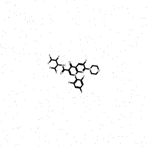 O=C(NC(C(F)F)C(F)C(F)F)c1cn(-c2c(F)cc(F)cc2F)c2nc(N3CCOCC3)c(F)cc2c1=O